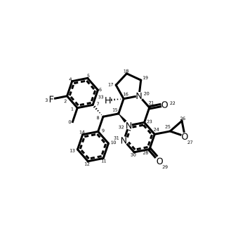 Cc1c(F)cccc1[C@@H](c1ccccc1)[C@H]1[C@H]2CCCN2C(=O)c2c(C3CO3)c(=O)cnn21